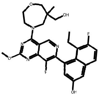 CCc1c(F)ccc2cc(O)cc(-c3ncc4c(N5CCOCC(C)(CO)C5)nc(OC)nc4c3F)c12